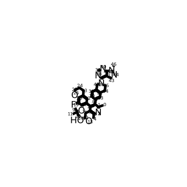 Cc1nc(C)c(C(OC(C)(C)C)C(=O)O)c(-c2cc(F)c3c(c2)CCCO3)c1-c1ccc2c(c1)CCN(c1ncnc3c1cnn3C)C2